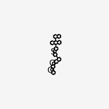 c1cc(-c2ccc3sc4cc(-c5c6ccccc6c(-c6cccc7ccccc67)c6ccccc56)ccc4c3c2)c2cc3oc4cc5oc6ccccc6c5cc4c3cc2c1